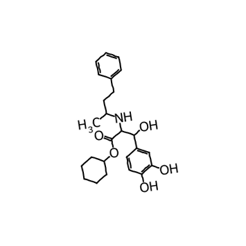 CC(CCc1ccccc1)NC(C(=O)OC1CCCCC1)C(O)c1ccc(O)c(O)c1